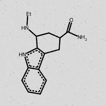 CCNC1CC(C(N)=O)Cc2c1[nH]c1ccccc21